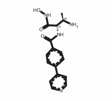 C[C@@H](N)[C@H](NC(=O)c1ccc(-c2ccncc2)cc1)C(=O)NO